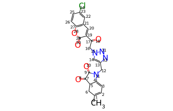 CC1=CC=C2C(C1)C(=O)C(=O)N2Cc1cn(CC(=O)c2cc3cc(Cl)ccc3oc2=O)nn1